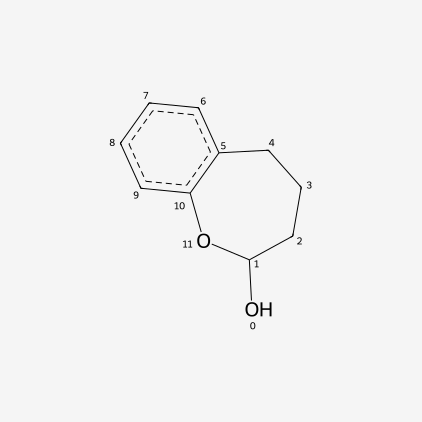 OC1CCCc2ccccc2O1